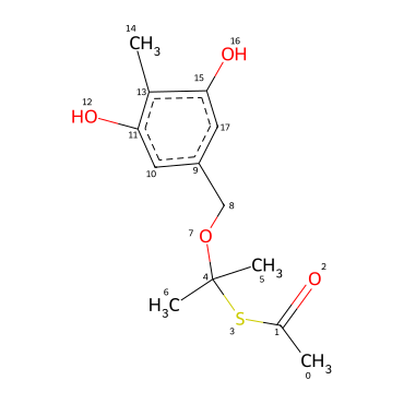 CC(=O)SC(C)(C)OCc1cc(O)c(C)c(O)c1